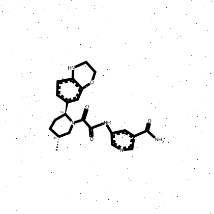 C[C@@H]1CC[C@@H](c2ccc3c(c2)OCCN3)N(C(=O)C(=O)Nc2cncc(C(N)=O)c2)C1